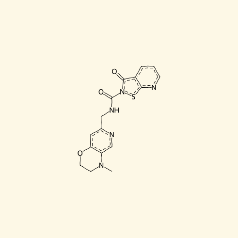 CN1CCOc2cc(CNC(=O)n3sc4ncccc4c3=O)ncc21